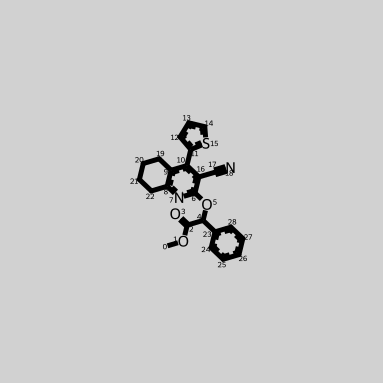 COC(=O)C(Oc1nc2c(c(-c3cccs3)c1C#N)CCCC2)c1ccccc1